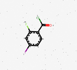 O=C(Cl)c1ccc(I)cc1F